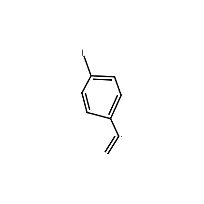 C=[C]c1ccc(I)cc1